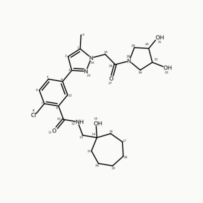 Cc1cc(-c2ccc(Cl)c(C(=O)NCC3(O)CCCCCC3)c2)nn1CC(=O)N1CC(O)C(O)C1